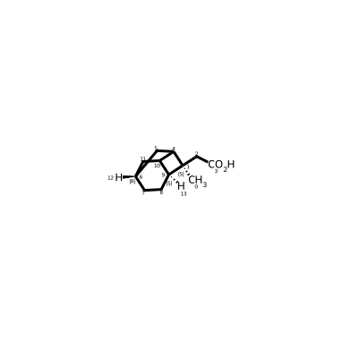 C[C@@]1(CC(=O)O)C2C[C@@H]3CC[C@H]1C2C3